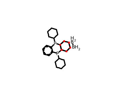 BB.c1ccc(P(C2CCCCC2)C2CCCCC2)c(P(C2CCCCC2)C2CCCCC2)c1